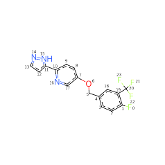 Fc1ccc(COc2ccc(-c3ccn[nH]3)nc2)cc1C(F)(F)F